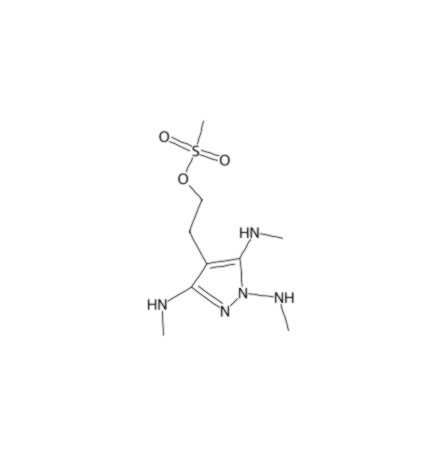 CNc1nn(NC)c(NC)c1CCOS(C)(=O)=O